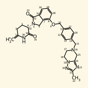 C=C1CC[C@H](N2Cc3c(OCc4ccc(CN5CCn6nc(C)nc6C5)cc4)cccc3C2=O)C(=O)N1